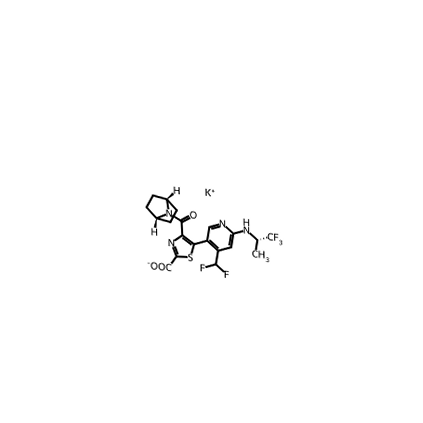 C[C@H](Nc1cc(C(F)F)c(-c2sc(C(=O)[O-])nc2C(=O)N2[C@H]3CC[C@@H]2CC3)cn1)C(F)(F)F.[K+]